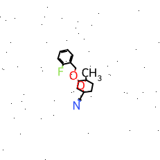 CC12CCC(C#N)(CC1OCc1ccccc1F)O2